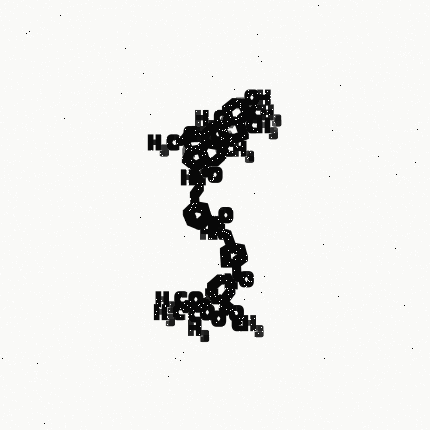 C=C(C)[C@@H]1CC[C@]2(C(=O)NCCc3cccc(C(=O)NCc4ccc(C(=O)N5CCN(C(=O)OC(C)(C)C)C(C(=O)OC)C5)cc4)c3)CC[C@]3(C)C(CCC4[C@@]5(C)CC[C@H](O)C(C)(C)C5CC[C@]43C)C12